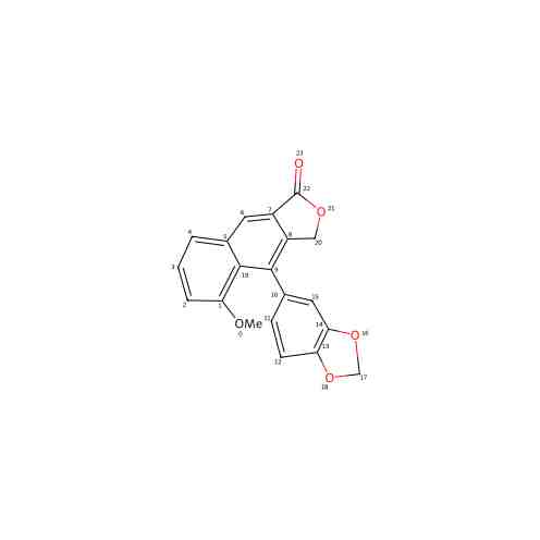 COc1cccc2cc3c(c(-c4ccc5c(c4)OCO5)c12)COC3=O